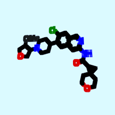 COC1COCC1N1CCC(c2cc3cc(NC(=O)C4CC45CCOCC5)ncc3cc2Cl)CC1